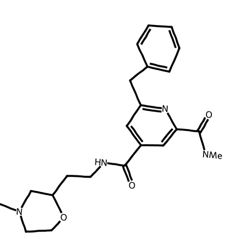 CNC(=O)c1cc(C(=O)NCCC2CN(C)CCO2)cc(Cc2ccccc2)n1